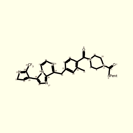 CCCCCC(=O)N1CCN(C(=O)c2ccc(Cc3nccn4c(C5=CCN=C5C(F)(F)F)cnc34)cc2C)CC1